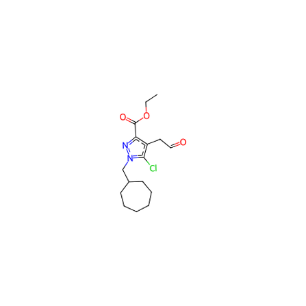 CCOC(=O)c1nn(CC2CCCCCC2)c(Cl)c1CC=O